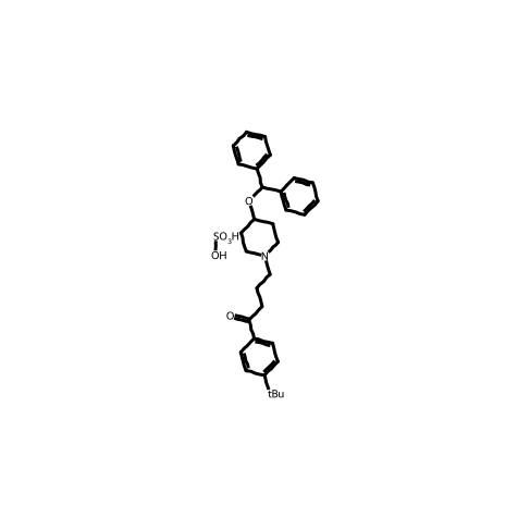 CC(C)(C)c1ccc(C(=O)CCCN2CCC(OC(c3ccccc3)c3ccccc3)CC2)cc1.O=S(=O)(O)O